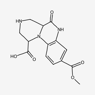 COC(=O)c1ccc2c(c1)NC(=O)C1CNCC(C(=O)O)N21